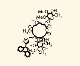 CC[C@H]1OC(=O)C[C@@H](O)[C@H](C)[C@@H](O[C@@H]2O[C@H](C)[C@@H](O)C(N(C)C)C2O)[C@@H](CCn2cc(-c3cc4ccccc4c4ccccc34)nn2)C[C@@H](C)C(=O)/C=C/C(C)=C/[C@@H]1CO[C@@H]1OC(C)[C@@H](O)[C@H](OC)C1OC